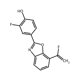 C=C(F)c1cccc2nc(-c3ccc(O)c(F)c3)oc12